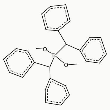 C[O][Ti]([O]C)([CH](c1ccccc1)c1ccccc1)[CH](c1ccccc1)c1ccccc1